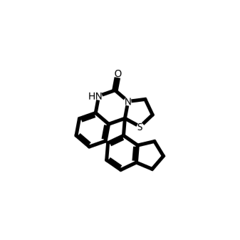 O=C1Nc2ccccc2C2(c3cccc4c3CCC4)SCCN12